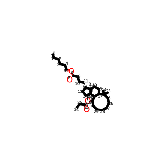 CCCCCCOC(=O)CCC[C@H]1CC[C@H]2C3C(CC[C@]12C)C(C)(C)CCCCCC[C@H]3OC(=O)CC